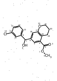 COC(=O)c1cc(C(O)c2cccc(Cl)c2)cc2c1CCCO2